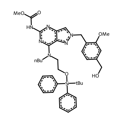 CCCCN(CCO[Si](c1ccccc1)(c1ccccc1)C(C)(C)C)c1nc(NC(=O)OC)nc2cn(Cc3ccc(CO)cc3OC)nc12